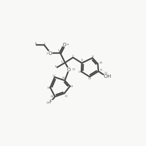 CCOC(=O)C(C)(Cc1ccc(O)cc1)Oc1ccc(F)cc1